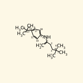 C=C(CCC(C)(C)C)Nc1ccc(C(C)(C)C)cc1